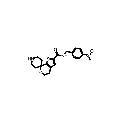 C[S+]([O-])c1ccc(CNC(=O)c2cc3c(s2)C2(CCNCC2)OCC3)cc1